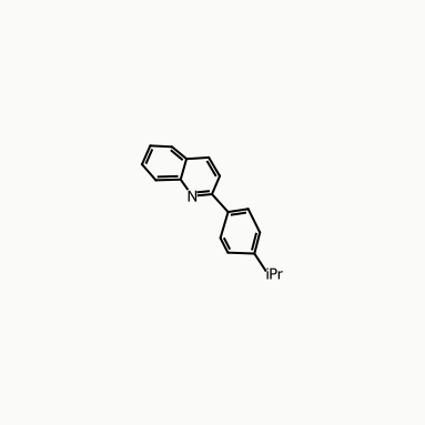 CC(C)c1ccc(-c2ccc3ccccc3n2)cc1